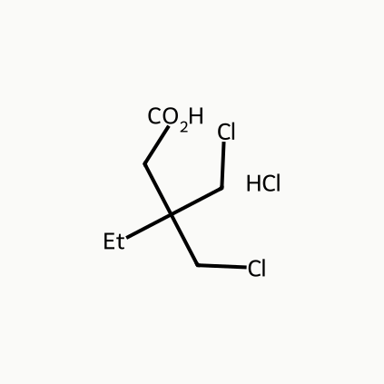 CCC(CCl)(CCl)CC(=O)O.Cl